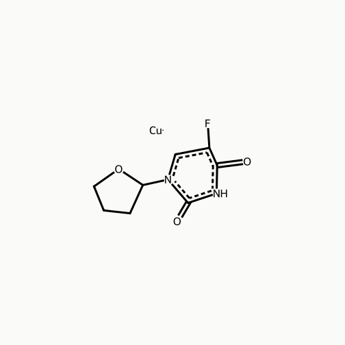 O=c1[nH]c(=O)n(C2CCCO2)cc1F.[Cu]